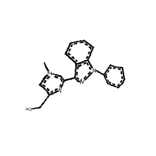 Cn1cc(CO)nc1-c1nn(-c2ccccc2)c2ccccc12